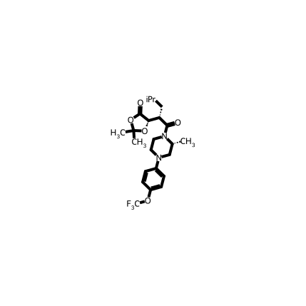 CC(C)C[C@H](C(=O)N1CCN(c2ccc(OC(F)(F)F)cc2)C[C@H]1C)[C@@H]1OC(C)(C)OC1=O